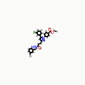 CCOC(=O)c1ccc(-n2nc(CCC(=O)NCc3cccc(C)c3)cc2-c2cccc(F)c2)cc1